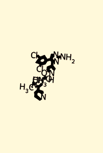 CN(C)C(CNC(=O)Oc1cc(-c2nc(N)ncc2-c2cc(Cl)cc(Cl)c2)c[nH]1)c1cccnc1